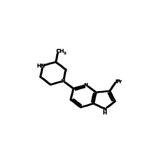 CC1CN(c2ccc3[nH]cc(C(C)C)c3n2)CCN1